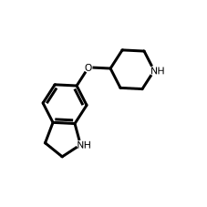 c1cc2c(cc1OC1CCNCC1)NCC2